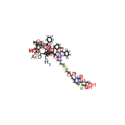 CC(=O)O[C@H]1C(=O)[C@@]2(C)[C@H]([C@H](OC(=O)c3ccccc3)[C@]3(O)C[C@H](OC(=O)C(OC(=O)CCCCSSCCOC(=O)Cc4ccn(C5OC(CO)C(O)C5(F)F)c(=O)n4)[C@@H](NC(=O)c4ccccc4)c4ccccc4)C(C)=C1C3(C)C)[C@]1(OC(C)=O)CO[C@@H]1C[C@@H]2O